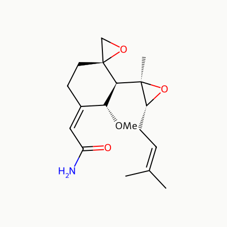 CO[C@@H]1/C(=C\C(N)=O)CC[C@]2(CO2)[C@H]1[C@@]1(C)O[C@@H]1CC=C(C)C